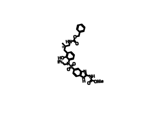 COC(=O)Nc1nc2cc(S(=O)(=O)N(CC(C)C)c3cccc(C[C@@H](C)CNC(=O)OCc4ccccc4)c3O)ccc2[nH]1